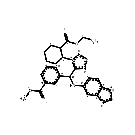 CCOC(=O)C1CCCCC1n1nnnc1C(Nc1ccc2[nH]cnc2c1)c1cccc(C(=O)OC)c1